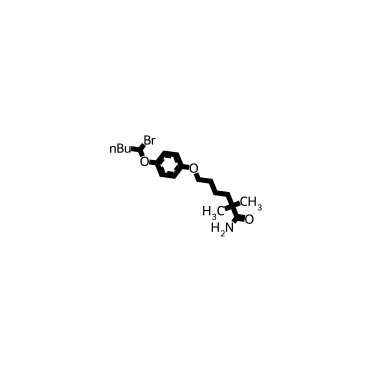 CCCCC(Br)Oc1ccc(OCCCCC(C)(C)C(N)=O)cc1